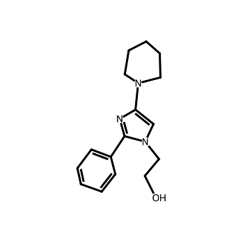 OCCn1cc(N2CCCCC2)nc1-c1ccccc1